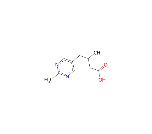 Cc1ncc(CC(C)CC(=O)O)cn1